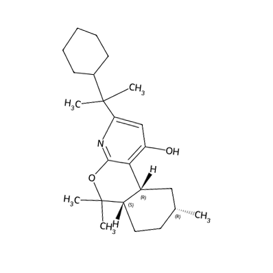 C[C@@H]1CC[C@H]2[C@@H](C1)c1c(O)cc(C(C)(C)C3CCCCC3)nc1OC2(C)C